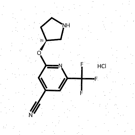 Cl.N#Cc1cc(O[C@H]2CCNC2)nc(C(F)(F)F)c1